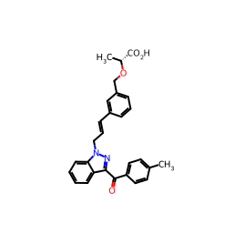 Cc1ccc(C(=O)c2nn(C/C=C/c3cccc(CO[C@H](C)C(=O)O)c3)c3ccccc23)cc1